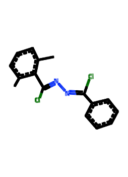 Cc1cccc(C)c1/C(Cl)=N/N=C(\Cl)c1ccccc1